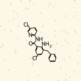 Nc1c(Cc2ccccc2)cc(Cl)cc1C(=O)Nc1ccc(Cl)cn1